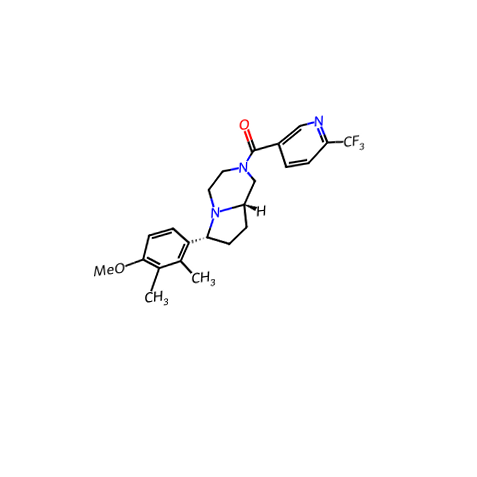 COc1ccc([C@H]2CC[C@H]3CN(C(=O)c4ccc(C(F)(F)F)nc4)CCN32)c(C)c1C